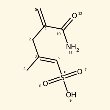 C=C(CC(C)=CS(=O)(=O)O)C(N)=O